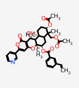 C=Cc1cccc(C(=O)O[C@H]2CC3C(C)(COC(C)=O)[C@@H](OC(C)=O)CC[C@]3(C)C3[C@@H](O)c4c(cc(-c5cccnc5)oc4=O)O[C@@]32C)c1